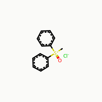 C[S+](=O)(c1ccccc1)c1ccccc1.[Cl-]